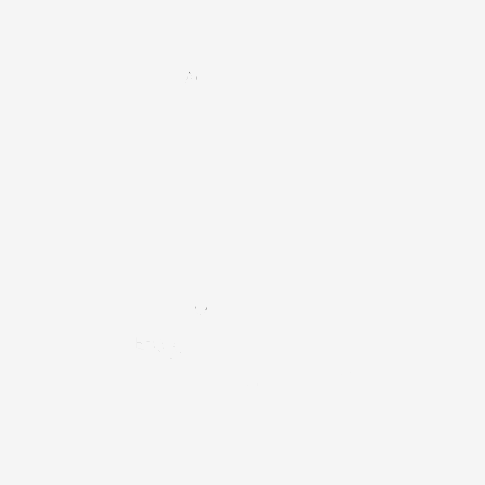 CCOC(=O)OC(Cc1ccc(CC(C)=O)cc1)c1ccccc1